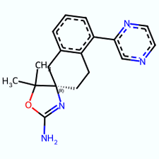 CC1(C)OC(N)=N[C@@]12CCc1c(cccc1-c1cnccn1)C2